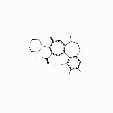 COC(=O)c1cc2c(cc(=O)c1N1CCOCC1)[C@@H](NC(C)=O)CCc1cc(OC)c(OC)c(OC)c1-2